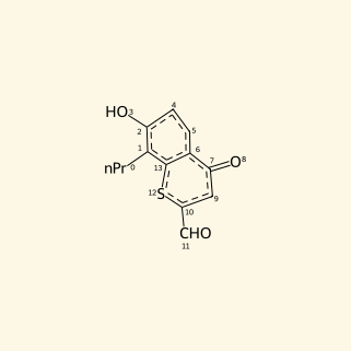 CCCc1c(O)ccc2c(=O)cc(C=O)sc12